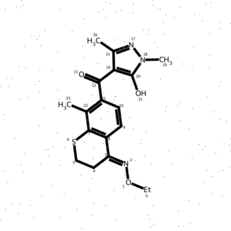 CCO/N=C1\CCSc2c1ccc(C(=O)c1c(C)nn(C)c1O)c2C